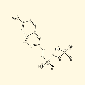 COc1ccc2cc(CC[C@@](C)(N)COP(=O)(O)O)ccc2c1